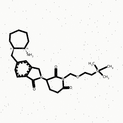 C[Si](C)(C)CCOCN1C(=O)CCC(N2Cc3cc(C[C@H]4CCCCC[C@@H]4N)ccc3C2=O)C1=O